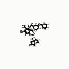 Fc1c(Br)c(Cl)c2c3c(nc(OC[C@@]45CCCN4C[C@H](F)C5)nc13)N1CCC(OC3CCCCO3)CC1CO2